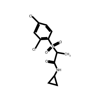 CC(C(=O)NC1CC1)S(=O)(=O)c1ccc(Cl)cc1Cl